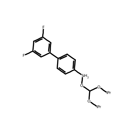 CC(C)OC(O[SiH2]c1ccc(-c2cc(F)cc(F)c2)cc1)OC(C)C